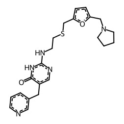 O=c1[nH]c(NCCSCc2ccc(CN3CCCC3)o2)ncc1Cc1cccnc1